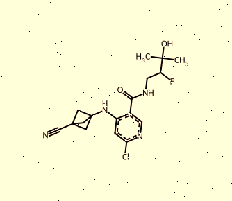 CC(C)(O)C(F)CNC(=O)c1cnc(Cl)cc1NC12CC(C#N)(C1)C2